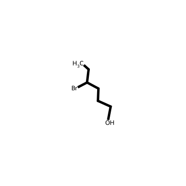 CCC(Br)CCCO